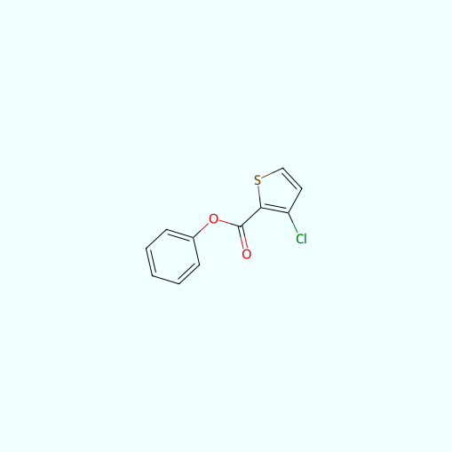 O=C(Oc1ccccc1)c1sccc1Cl